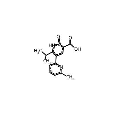 Cc1cccc(-c2cc(C(=O)O)c(=O)[nH]c2C(C)C)n1